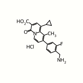 Cc1c(-c2ccc(CN)c(F)c2)ccn2c(=O)c(C(=O)O)cc(C3CC3)c12.Cl